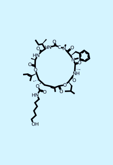 C/C=C(\C)[C@H]1OC(=O)[C@@H](C)NC(=O)[C@H]([C@H](C)CC)NC(=O)CN(C)C(=O)[C@@H](Cc2ccccc2)N(C)C(=O)[C@H](C)NC(=O)[C@@H](CC(C)C)OC(=O)/C(C)=C/C[C@H](OC(=O)NCCCCCCO)[C@@H]1C